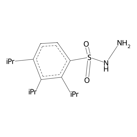 CC(C)c1ccc(S(=O)(=O)NN)c(C(C)C)c1C(C)C